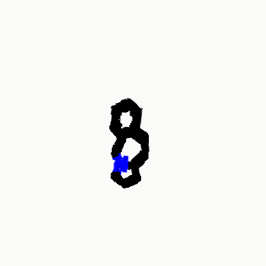 C1=CC2=CC=c3ccccc3=CN2C1